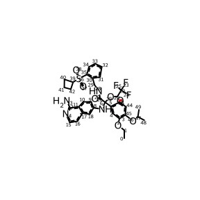 CCOc1cc(C(Nc2ccc3c(N)nccc3c2)(OC(=O)C(F)(F)F)C(=O)NCc2ccccc2S(=O)(=O)C2CCC2)ccc1OC(C)C